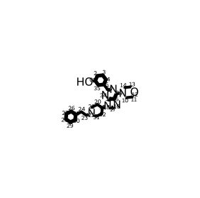 Oc1cccc(-c2nc(N3CCOCC3)c3ncn(C4CCN(CCc5ccccc5)CC4)c3n2)c1